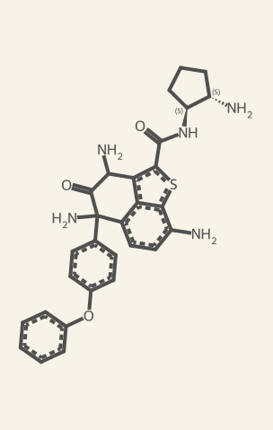 Nc1ccc2c3c(c(C(=O)N[C@H]4CCC[C@@H]4N)sc13)C(N)C(=O)C2(N)c1ccc(Oc2ccccc2)cc1